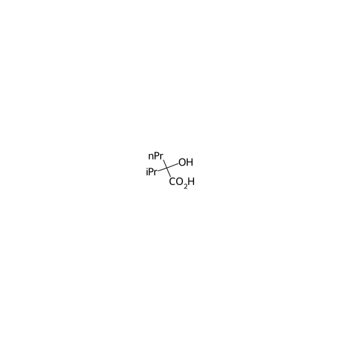 CCCC(O)(C(=O)O)C(C)C